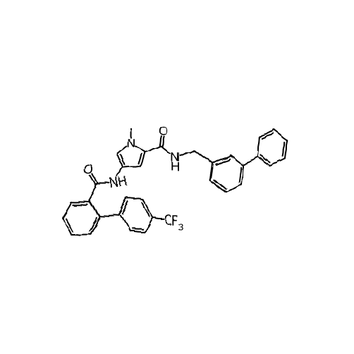 Cn1cc(NC(=O)c2ccccc2-c2ccc(C(F)(F)F)cc2)cc1C(=O)NCc1cccc(-c2ccccc2)c1